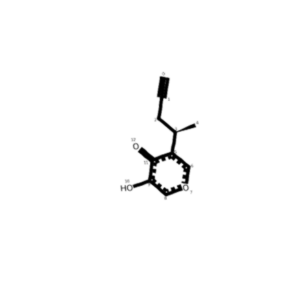 C#CC[C@@H](C)c1cocc(O)c1=O